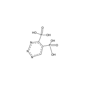 O=P(O)(O)c1cnnnc1P(=O)(O)O